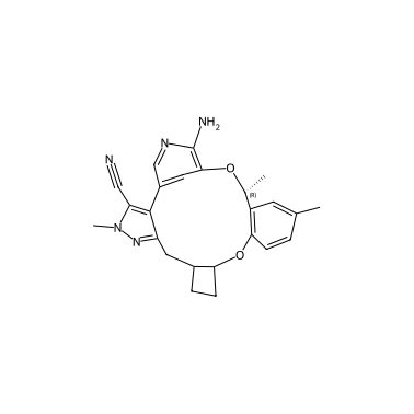 Cc1ccc2c(c1)[C@@H](C)Oc1cc(cnc1N)-c1c(nn(C)c1C#N)CC1CCC1O2